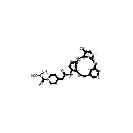 CN(C)C(=O)N1CCC(CC(=O)Nc2ccc3cc2CCc2cncc(c2)Nc2ncc(Cl)c(n2)N3)CC1